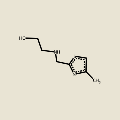 Cc1csc(CNCCO)n1